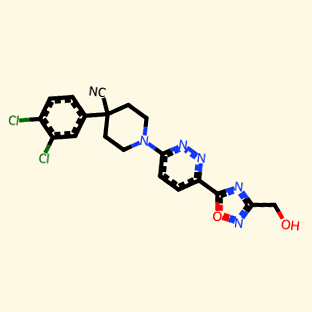 N#CC1(c2ccc(Cl)c(Cl)c2)CCN(c2ccc(-c3nc(CO)no3)nn2)CC1